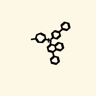 CC1=CC=C(N(c2ccc(-c3ccccc3)cc2)c2ccc(-c3ccccc3)c3ccccc23)C=CC1